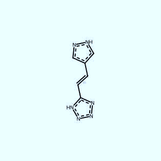 C(=C\c1nnn[nH]1)/c1cn[nH]c1